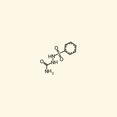 NC(=O)NNS(=O)(=O)c1ccccc1